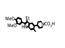 CCc1c(-c2ccc(OC)c(OC)c2)[nH]c2cc(C)c(C3=CCN(C(=O)O)CC3)cc12